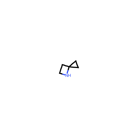 C1CC2(CC2)N1